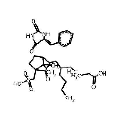 CCC(=O)O.CCCCC(CC)CC1C(=O)C2(CS(=O)(=O)O)CCC1C2(C)C.O=C1NC(=O)C(=Cc2ccccc2)N1